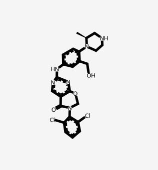 C[C@H]1CNCCN1c1ccc(Nc2ncc3c(n2)OCN(c2c(Cl)cccc2Cl)C3=O)cc1CO